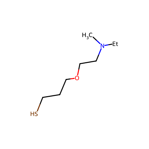 CCN(C)CCOCCCS